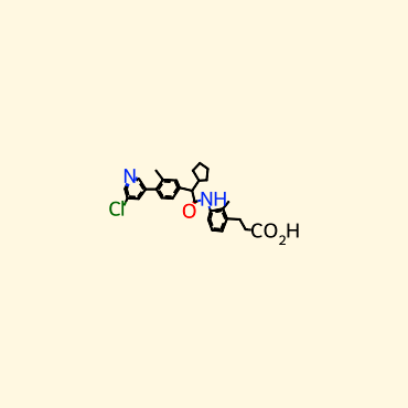 Cc1cc(C(C(=O)Nc2cccc(CCC(=O)O)c2C)C2CCCC2)ccc1-c1cncc(Cl)c1